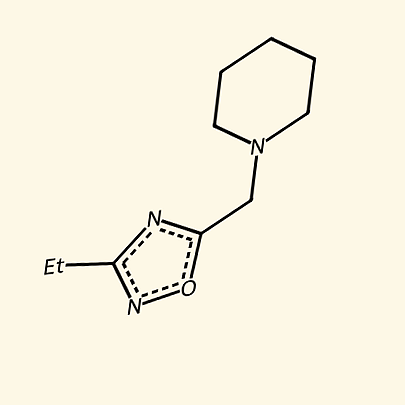 CCc1noc(CN2CCCCC2)n1